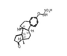 C[C@]12CC[C@@H]3c4ccc(ONS(=O)(=O)O)cc4CC[C@H]3[C@@H]1CCC2=O